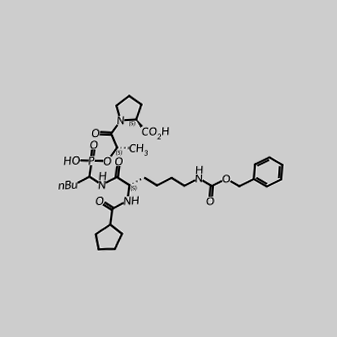 CCCCC(NC(=O)[C@H](CCCCNC(=O)OCc1ccccc1)NC(=O)C1CCCC1)P(=O)(O)O[C@@H](C)C(=O)N1CCC[C@H]1C(=O)O